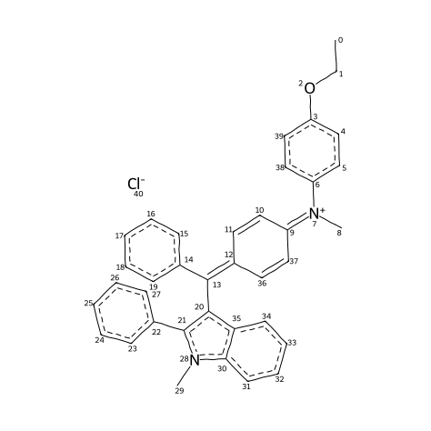 CCOc1ccc([N+](C)=C2C=CC(=C(c3ccccc3)c3c(-c4ccccc4)n(C)c4ccccc34)C=C2)cc1.[Cl-]